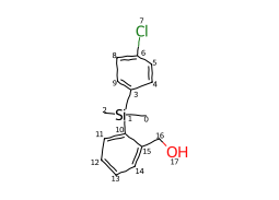 C[Si](C)(c1ccc(Cl)cc1)c1ccccc1CO